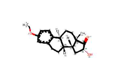 COc1ccc2c(c1)CC[C@@H]1[C@@H]2CC[C@]2(C)C(=O)[C@H](O)C[C@H]12